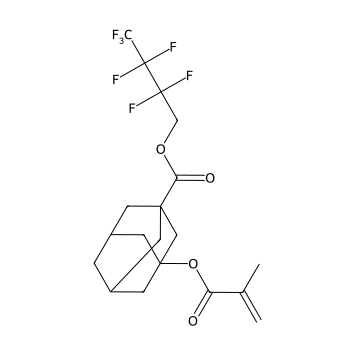 C=C(C)C(=O)OC12CC3CC(C1)CC(C(=O)OCC(F)(F)C(F)(F)C(F)(F)F)(C3)C2